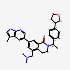 Cc1c[nH]c2ncc(-c3cc(CN(C)C)c4c(c3)C(=O)N(C(C)c3ccc(C5CCOC5)cc3)CC4)cc12